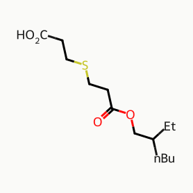 CCCCC(CC)COC(=O)CCSCCC(=O)O